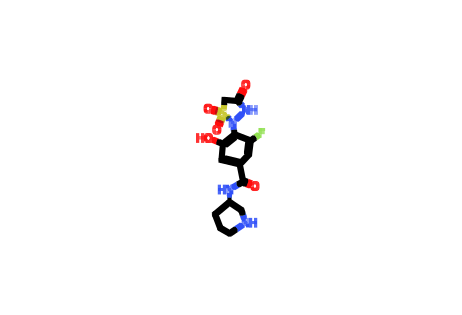 O=C1CS(=O)(=O)N(c2c(O)cc(C(=O)N[C@@H]3CCCNC3)cc2F)N1